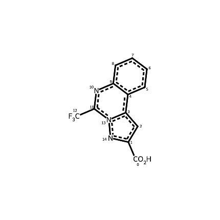 O=C(O)c1cc2c3ccccc3nc(C(F)(F)F)n2n1